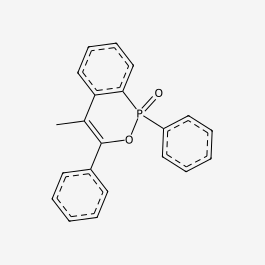 CC1=C(c2ccccc2)OP(=O)(c2ccccc2)c2ccccc21